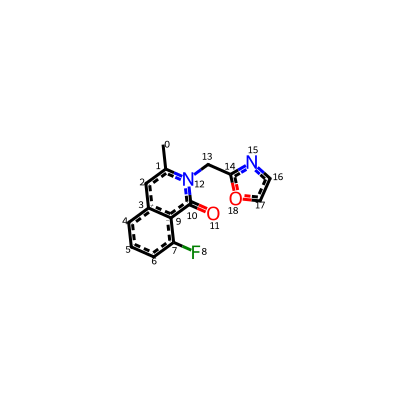 Cc1cc2cccc(F)c2c(=O)n1Cc1ncco1